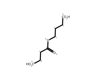 O=C(O)CCCOC(=O)CCC(=O)O